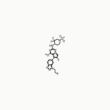 COc1nc(N[C@@H]2CCN(S(C)(=O)=O)CC2(F)F)nn2cc(F)c(-c3ccc4nnn(CCF)c4c3)c12